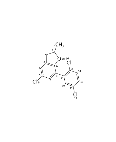 CC1Cc2cc(Cl)cc(-c3cc(Cl)ccc3Cl)c2O1